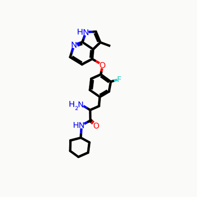 Cc1c[nH]c2nccc(Oc3ccc(CC(N)C(=O)NC4CCCCC4)cc3F)c12